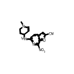 CN1CCC(Nc2cc3cc(C#N)oc3c([N+](=O)[O-])n2)CC1